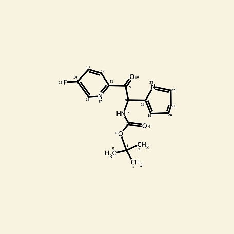 CC(C)(C)OC(=O)NC(C(=O)c1ccc(F)cn1)c1ccccn1